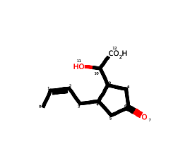 C/C=C\CC1CC(=O)CC1C(O)C(=O)O